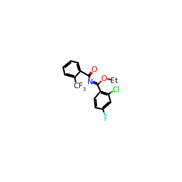 CCOC(=NC(=O)c1ccccc1C(F)(F)F)c1ccc(F)cc1Cl